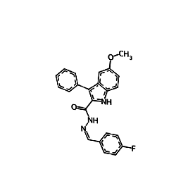 COc1ccc2[nH]c(C(=O)N/N=C\c3ccc(F)cc3)c(-c3ccccc3)c2c1